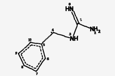 N=C(N)N[CH]c1ccccc1